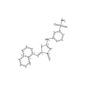 NS(=O)(=O)c1cccc(NC2=NC(=O)C(=Cc3cccc4cccnc34)S2)c1